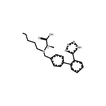 CCCCCN(Cc1ccc(-c2ccccc2-c2nnn[nH]2)cc1)[C@H](C)C(=O)O